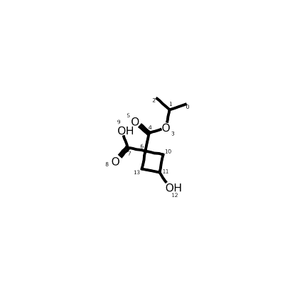 CC(C)OC(=O)C1(C(=O)O)CC(O)C1